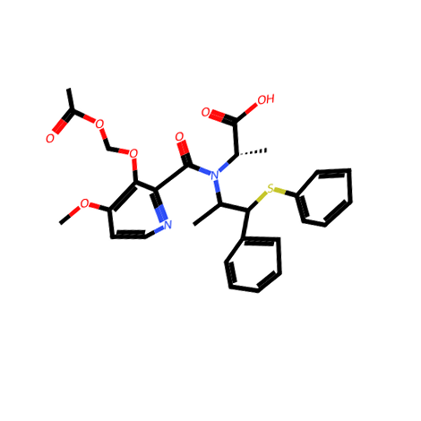 COc1ccnc(C(=O)N(C(C)C(Sc2ccccc2)c2ccccc2)[C@@H](C)C(=O)O)c1OCOC(C)=O